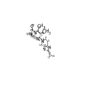 Cc1c(N2CCc3nc(C4CC4)sc3C2)nc2n[nH]c(=O)n2c1C